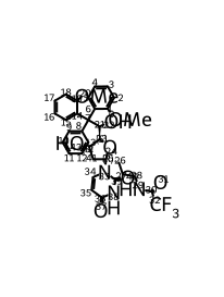 COc1ccccc1C(c1ccccc1)(c1ccccc1OC)C(O)[C@H]1O[C@@](CCCNC(=O)C(F)(F)F)(n2ccc(=O)[nH]c2=O)C[C@@H]1O